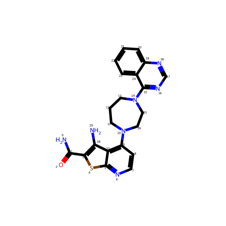 NC(=O)c1sc2nccc(N3CCCN(c4ncnc5ccccc45)CC3)c2c1N